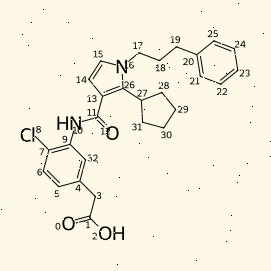 O=C(O)Cc1ccc(Cl)c(NC(=O)c2ccn(CCCc3ccccc3)c2C2CCCC2)c1